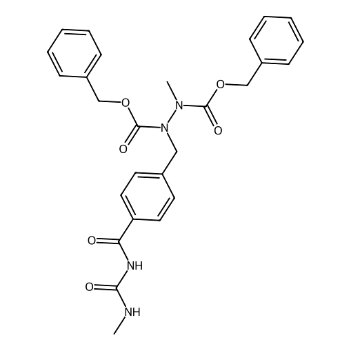 CNC(=O)NC(=O)c1ccc(CN(C(=O)OCc2ccccc2)N(C)C(=O)OCc2ccccc2)cc1